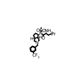 CC(C)C[C@@H](N)C(=O)N([C@H]1CC[C@@H]2CN(Cc3cccc(C(F)(F)F)c3)C[C@@H]21)S(C)(=O)=O